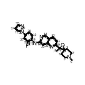 CN1CCC2(CC1)OC2(C)c1ccc2cnc(Nc3ccc(-n4cccn4)cc3F)cc2n1